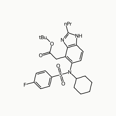 CCCc1nc2c(CC(=O)OC(C)(C)C)c(N(C3CCCCC3)S(=O)(=O)c3ccc(F)cc3)ccc2[nH]1